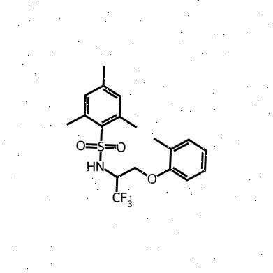 Cc1cc(C)c(S(=O)(=O)NC(COc2ccccc2C)C(F)(F)F)c(C)c1